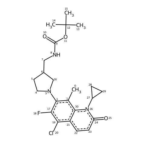 Cc1c(N2CCC(CNC(=O)OC(C)(C)C)C2)c(F)c(Cl)c2ccc(=O)n(C3CC3)c12